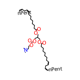 CCCCC/C=C\C/C=C\CCCCCCCC(=O)OCC(COC(=O)CCCCCCC/C=C\C/C=C\CCCCC)COC(=O)OCCN(C)C